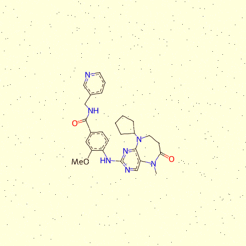 COc1cc(C(=O)NCc2cccnc2)ccc1Nc1ncc2c(n1)N(C1CCCC1)CCC(=O)N2C